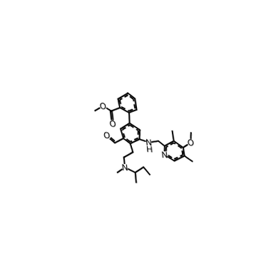 CCC(C)N(C)CCc1c(C=O)cc(-c2ccccc2C(=O)OC)cc1NCc1ncc(C)c(OC)c1C